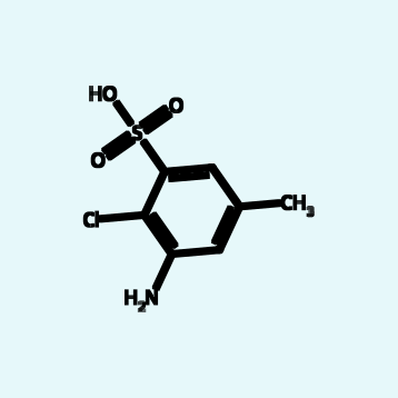 Cc1cc(N)c(Cl)c(S(=O)(=O)O)c1